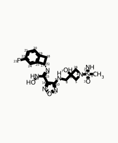 CS(=N)(=O)N1CC(O)(CNc2nonc2C(=N[C@H]2Cc3ccc(F)cc32)NO)C1